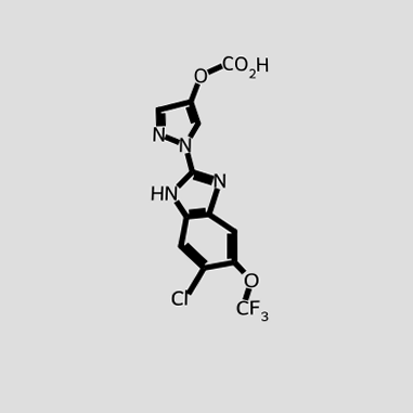 O=C(O)Oc1cnn(-c2nc3cc(OC(F)(F)F)c(Cl)cc3[nH]2)c1